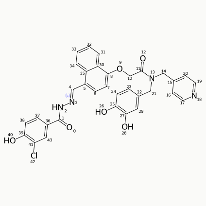 O=C(N/N=C/c1ccc(OCC(=O)N(Cc2ccncc2)Cc2ccc(O)c(O)c2)c2ccccc12)c1ccc(O)c(Cl)c1